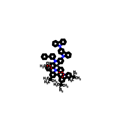 CC(C)(C)c1cc(-c2ccccc2)c(N2c3cc(-n4c5ccc(C(C)(C)C)cc5c5cc(C(C)(C)C)ccc54)ccc3B3c4ccc(-n5c6ccccc6c6cc(-n7c8ccccc8c8ccccc87)ccc65)cc4N(c4cccc(-c5ccccc5)c4)c4cc(C(C)(C)C)cc2c43)c(-c2ccccc2)c1